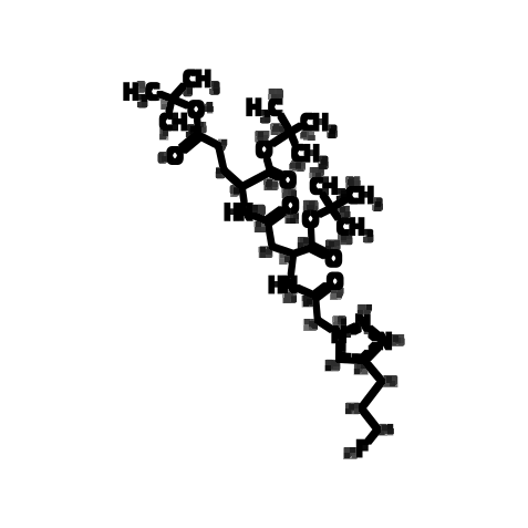 CC(C)(C)OC(=O)CCC(NC(=O)CC(NC(=O)Cn1cc(CCCF)nn1)C(=O)OC(C)(C)C)C(=O)OC(C)(C)C